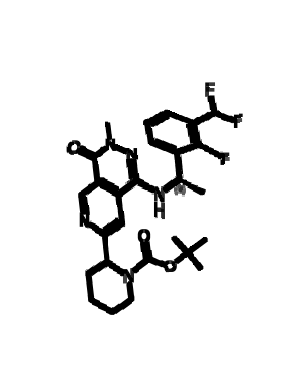 C[C@@H](Nc1nn(C)c(=O)c2cnc(C3CCCCN3C(=O)OC(C)(C)C)cc12)c1cccc(C(F)F)c1F